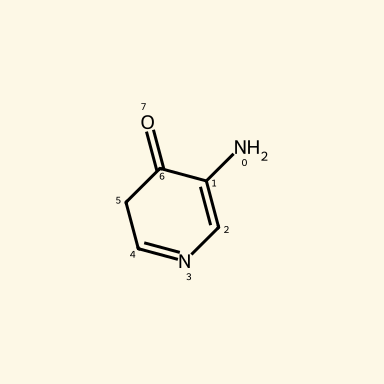 NC1=CN=CCC1=O